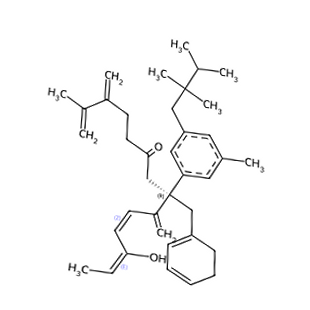 C=C(C)C(=C)CCC(=O)C[C@](CC1=CC=CCC1)(C(=C)/C=C\C(O)=C/C)c1cc(C)cc(CC(C)(C)C(C)C)c1